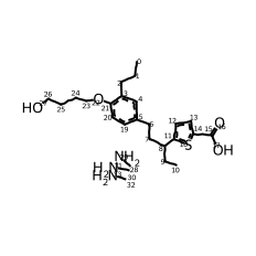 CCCc1cc(CCC(CC)c2ccc(C(=O)O)s2)ccc1OCCCCO.CN.CN.CN